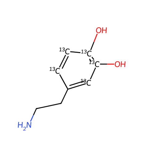 NCCc1[13cH][13cH][13c](O)[13c](O)[13cH]1